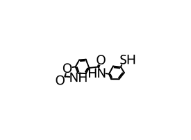 O=C(Nc1cccc(S)c1)c1ccc2oc(=O)[nH]c2c1